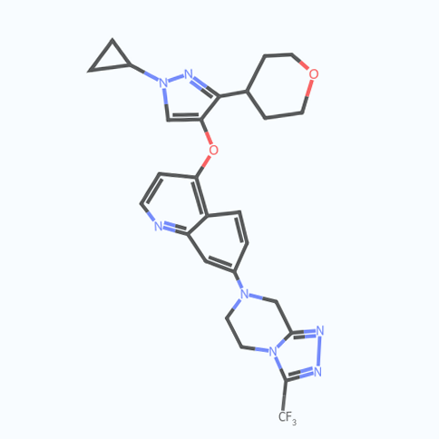 FC(F)(F)c1nnc2n1CCN(c1ccc3c(Oc4cn(C5CC5)nc4C4CCOCC4)ccnc3c1)C2